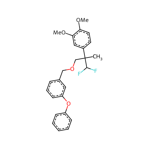 COc1ccc(C(C)(COCc2cccc(Oc3ccccc3)c2)C(F)F)cc1OC